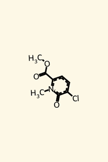 COC(=O)c1ccc(Cl)c(=O)n1C